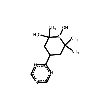 CC1(C)CC(c2ncncn2)CC(C)(C)N1O